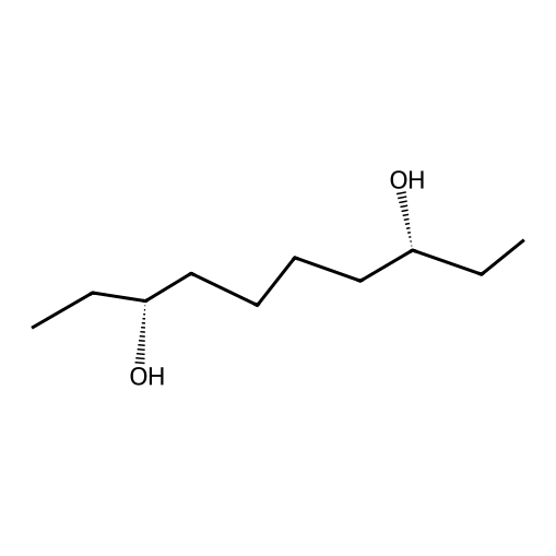 CC[C@@H](O)CCCC[C@H](O)CC